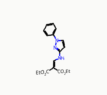 CCOC(=O)C(=CNc1ccn(-c2ccccc2)n1)C(=O)OCC